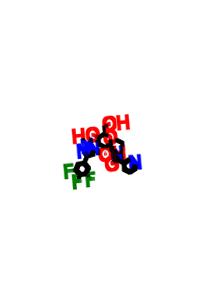 O=C(c1cccnc1)N1CCC[C@]2(C1)O[C@H](CO)[C@H](O)[C@H](n1cc(-c3cc(F)c(F)c(F)c3)nn1)[C@H]2O